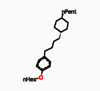 CCCCCCOc1ccc(CCCC[C@H]2CC[C@H](CCCCC)CC2)cc1